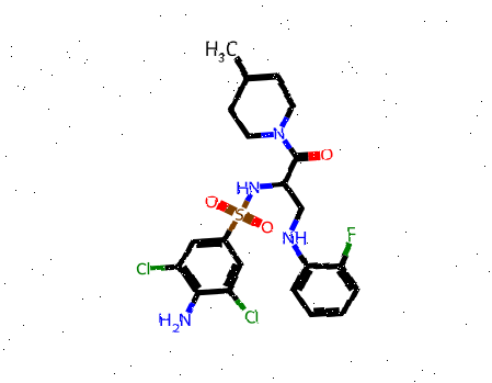 CC1CCN(C(=O)C(CNc2ccccc2F)NS(=O)(=O)c2cc(Cl)c(N)c(Cl)c2)CC1